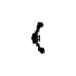 O=C(/C=C/CCCCCOC1CCCCO1)N[C@H]1CCC[C@H]1NC(=O)/C=C/CCCCCOC1CCCCO1